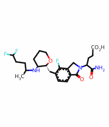 CC(CCC(F)F)N[C@H]1CCCO[C@@H]1Cc1ccc2c(c1F)CN(C(CCC(=O)O)C(N)=O)C2=O